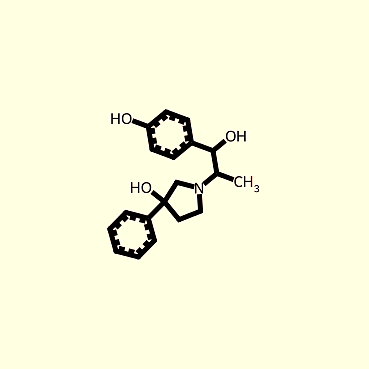 CC(C(O)c1ccc(O)cc1)N1CCC(O)(c2ccccc2)C1